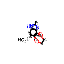 Cc1nc2c3c(c(C(=O)O)cc2[nH]1)OCCO3